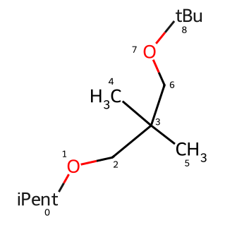 CCCC(C)OCC(C)(C)COC(C)(C)C